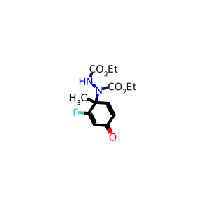 CCOC(=O)NN(C(=O)OCC)C1(C)C=CC(=O)C=C1F